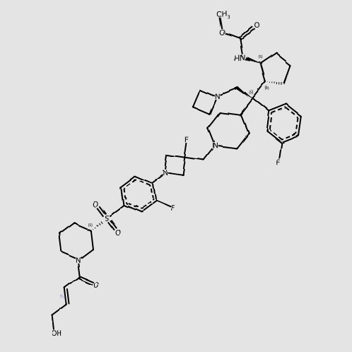 COC(=O)N[C@H]1CCC[C@@H]1[C@](CN1CCC1)(c1cccc(F)c1)C1CCN(CC2(F)CN(c3ccc(S(=O)(=O)[C@H]4CCCN(C(=O)/C=C/CO)C4)cc3F)C2)CC1